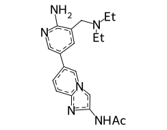 CCN(CC)Cc1cc(-c2ccc3nc(NC(C)=O)cn3c2)cnc1N